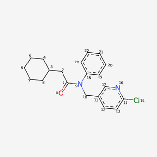 O=C(CC1CCCCC1)N(Cc1ccc(Cl)nc1)c1ccccc1